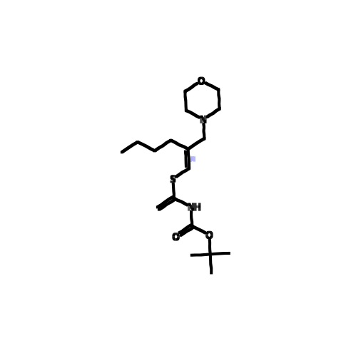 C=C(NC(=O)OC(C)(C)C)S/C=C(\CCCC)CN1CCOCC1